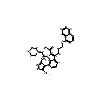 Cc1n[nH]c(C)c1-c1cccc2c(CCCOc3cccc4ccccc34)c(C(=O)O)n(CCN3CCOCC3)c12